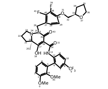 COc1cccc(-c2cc(C(F)(F)F)ccc2NC(=O)C2=C(O)[C@@]3(C)CCCN3N(Cc3ccc(OC[C@H]4CCCO4)c(F)c3F)C2=O)c1OC